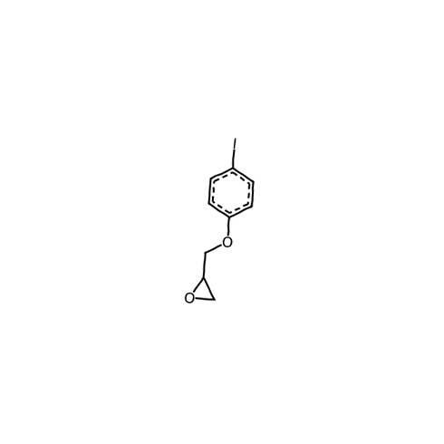 Ic1ccc(OCC2CO2)cc1